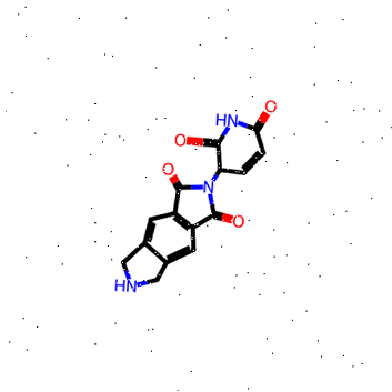 O=C1C=CC(N2C(=O)c3cc4c(cc3C2=O)CNC4)C(=O)N1